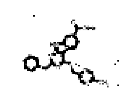 COC(=O)c1ccc2c(c1)[nH]c1nc(Cc3ccccc3)nc(NCc3cnc(C)cn3)c12